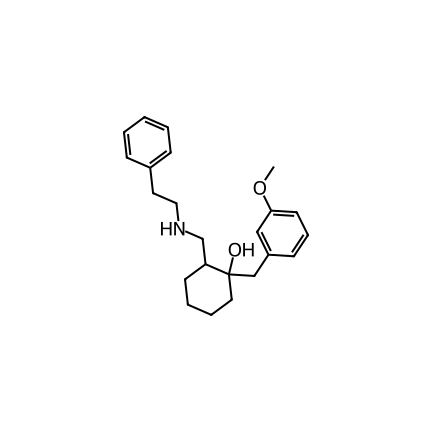 COc1cccc(CC2(O)CCCCC2CNCCc2ccccc2)c1